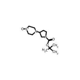 CC(C)(C)OC(=O)N1CCC(N2CC[S+]([O-])CC2)C1